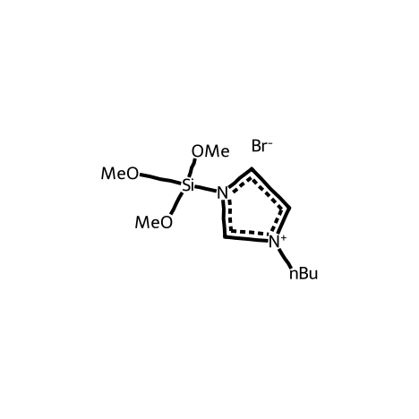 CCCC[n+]1ccn([Si](OC)(OC)OC)c1.[Br-]